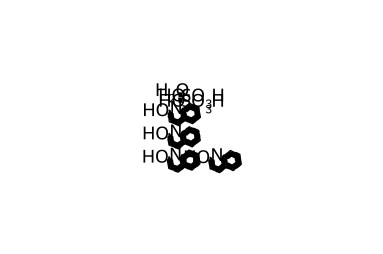 O.O=S(=O)(O)O.O=S(=O)(O)O.Oc1ccc2ccccc2n1.Oc1ccc2ccccc2n1.Oc1ccc2ccccc2n1.Oc1ccc2ccccc2n1